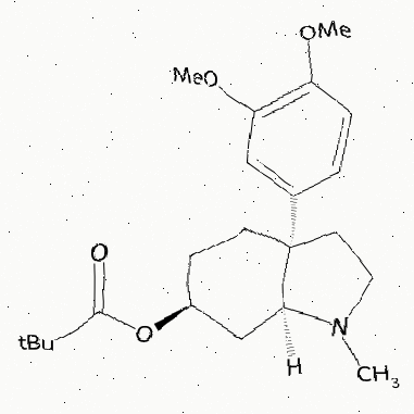 COc1ccc([C@@]23CC[C@H](OC(=O)C(C)(C)C)C[C@@H]2N(C)CC3)cc1OC